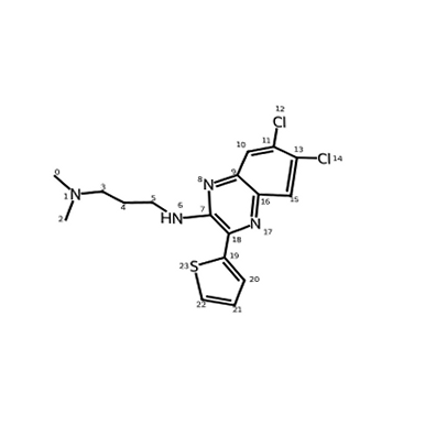 CN(C)CCCNc1nc2cc(Cl)c(Cl)cc2nc1-c1cccs1